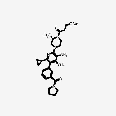 COCCC(=O)N1CCN(c2nc(C3CC3)c(-c3cccc(C(=O)N4CCCC4)c3)c(C)c2N)C[C@H]1C